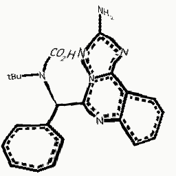 CC(C)(C)N(C(=O)O)[C@H](c1ccccc1)c1nc2ccccc2c2nc(N)nn12